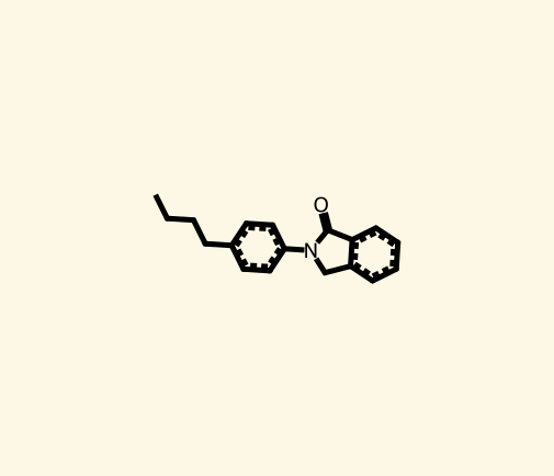 CCCCc1ccc(N2Cc3ccccc3C2=O)cc1